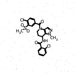 Cn1ncc2c1C(NC(=O)c1ccccc1Cl)CCN2C(=O)c1ccc(Cl)c(S(C)(=O)=O)c1